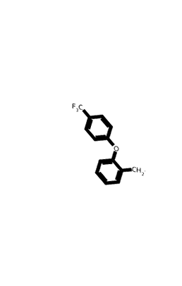 [CH2]c1ccccc1Oc1ccc(C(F)(F)F)cc1